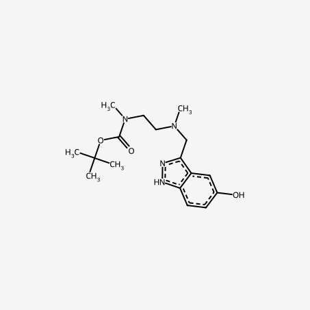 CN(CCN(C)C(=O)OC(C)(C)C)Cc1n[nH]c2ccc(O)cc12